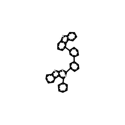 c1ccc(-c2nc(-c3cccc(-c4cccc(-c5cccc6sc7ccccc7c56)c4)c3)nc3sc4ccccc4c23)cc1